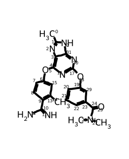 Cc1nc2c(Oc3ccc(C(=N)N)c(C)c3)nc(Oc3cccc(C(=O)N(C)C)c3)nc2[nH]1